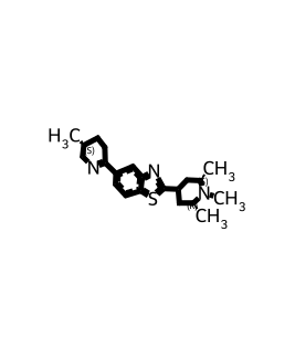 C[C@H]1CCC(c2ccc3sc(C4C[C@@H](C)N(C)[C@@H](C)C4)nc3c2)=NC1